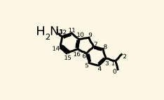 CC(C)c1ccc2c(c1)Cc1cc(N)c#cc1-2